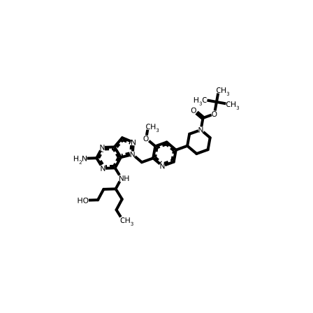 CCCC(CCO)Nc1nc(N)nc2cnn(Cc3ncc(C4CCCN(C(=O)OC(C)(C)C)C4)cc3OC)c12